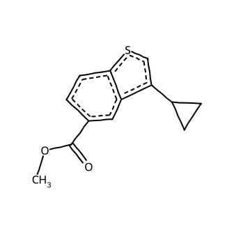 COC(=O)c1ccc2scc(C3CC3)c2c1